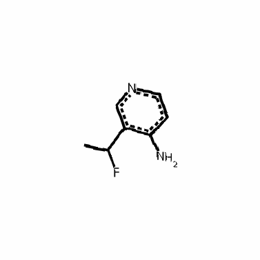 CC(F)c1cnccc1N